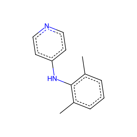 Cc1cccc(C)c1Nc1ccncc1